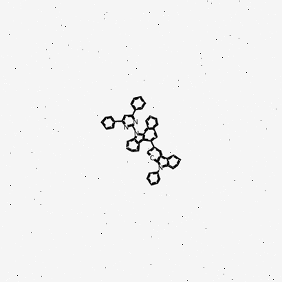 c1ccc(-c2cc(-c3ccccc3)nc(-n3c4ccccc4c4c(-c5ccc6c(c5)c5ccccc5n6-c5ccccc5)cc5ccccc5c43)n2)cc1